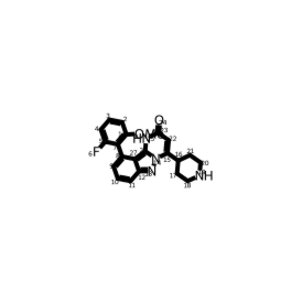 COc1cccc(F)c1-c1cccc2nn3c(C4CCNCC4)cc(=O)[nH]c3c12